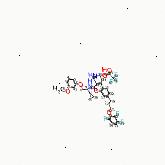 COc1cccc(OCC(NC(=O)C2=C(c3ccc(CCCOc4c(F)ccc(F)c4F)cc3)CCNC2)C2CC2)c1.O=C(O)C(F)(F)F